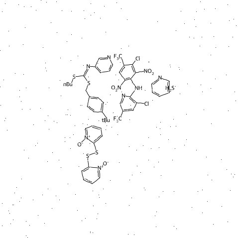 CCCCS/C(=N/c1cccnc1)SCc1ccc(C(C)(C)C)cc1.O=[N+]([O-])c1cc(C(F)(F)F)c(Cl)c([N+](=O)[O-])c1Nc1ncc(C(F)(F)F)cc1Cl.S.[O-][n+]1ccccc1SSc1cccc[n+]1[O-].c1ccncc1